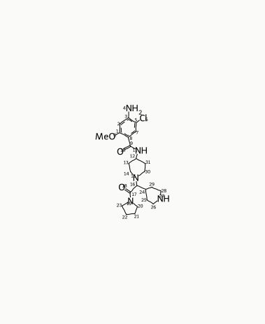 COc1cc(N)c(Cl)cc1C(=O)NC1CCN(C(C(=O)N2CCCC2)C2CCNCC2)CC1